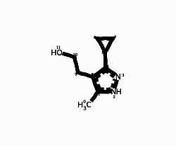 Cc1[nH]nc(C2CC2)c1CCO